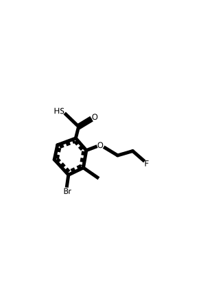 Cc1c(Br)ccc(C(=O)S)c1OCCF